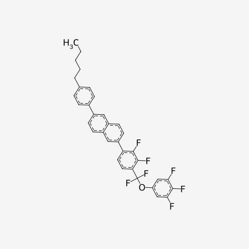 CCCCCc1ccc(-c2ccc3cc(-c4ccc(C(F)(F)Oc5cc(F)c(F)c(F)c5)c(F)c4F)ccc3c2)cc1